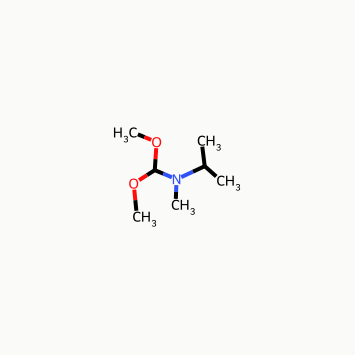 COC(OC)N(C)C(C)C